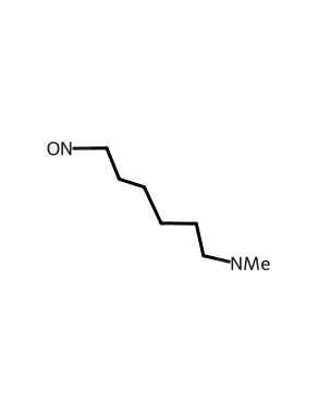 CNCCCCCCN=O